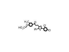 Cc1cc(C(=O)CCC2N=C(c3ccc(Cl)cc3Cl)SC2C(C)C)ccc1OCC(=O)O